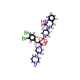 CN1CCCN(C2CCN(C(=O)[C@@H](Cc3ccc(Br)c(Br)c3)OC(=O)N3CCC(N4CCc5ccccc5NC4=O)CC3)CC2)CC1